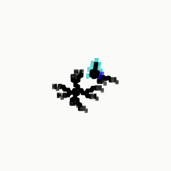 CCCCC(CC)CC[B-](CCC(CC)CCCC)(CCC(CC)CCCC)CCC(CC)CCCC.CCCC[NH+](C)c1cc(F)c(F)c(C(F)(F)C(F)(F)F)c1F